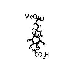 COC(=O)/C=C/[C@]1(C)CCc2c(C)c(OCC(=O)O)c(C)c(C)c2O1